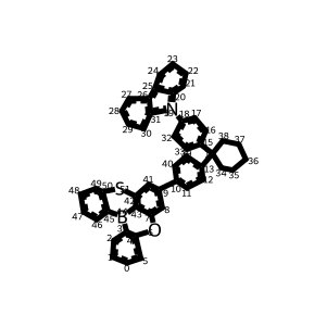 c1ccc2c(c1)Oc1cc(-c3ccc(C4(c5ccc(-n6c7ccccc7c7ccccc76)cc5)CCCCC4)cc3)cc3c1B2c1ccccc1S3